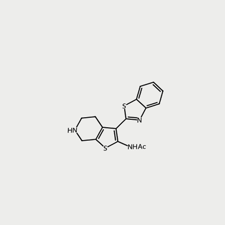 CC(=O)Nc1sc2c(c1-c1nc3ccccc3s1)CCNC2